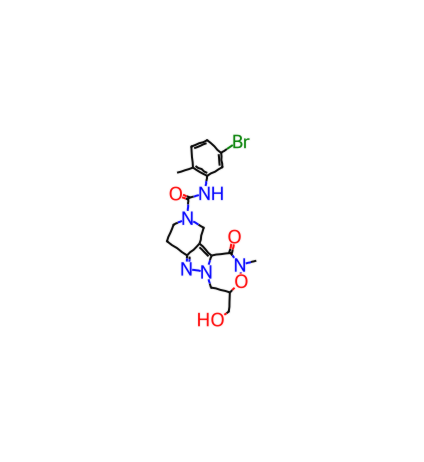 Cc1ccc(Br)cc1NC(=O)N1CCc2nn3c(c2C1)C(=O)N(C)OC(CO)C3